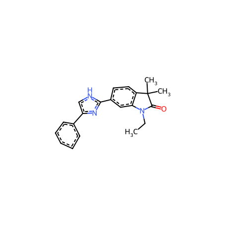 CCN1C(=O)C(C)(C)c2ccc(-c3nc(-c4ccccc4)c[nH]3)cc21